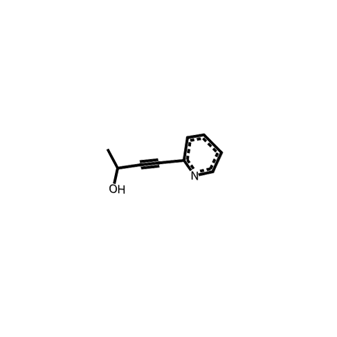 CC(O)C#Cc1ccccn1